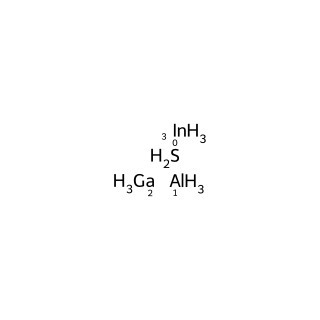 S.[AlH3].[GaH3].[InH3]